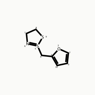 c1coc(CS2=NCCS2)c1